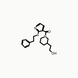 O=C(c1cccnc1SCCc1ccccc1)N1CCCC(CCO)C1